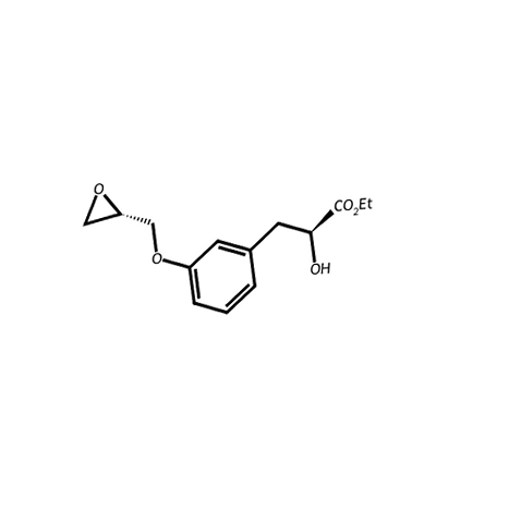 CCOC(=O)[C@@H](O)Cc1cccc(OC[C@@H]2CO2)c1